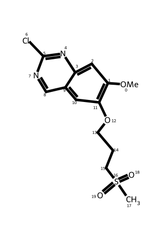 COc1cc2nc(Cl)ncc2cc1OCCCS(C)(=O)=O